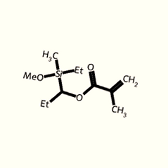 C=C(C)C(=O)OC(CC)[Si](C)(CC)OC